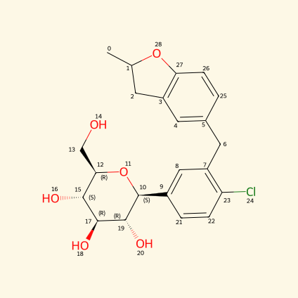 CC1Cc2cc(Cc3cc([C@@H]4O[C@H](CO)[C@@H](O)[C@H](O)[C@H]4O)ccc3Cl)ccc2O1